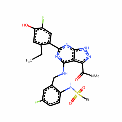 CCS(=O)(=O)Nc1ccc(F)cc1CNc1nc(-c2cc(F)c(O)cc2CC(F)(F)F)nc2[nH]nc(C(=O)NC)c12